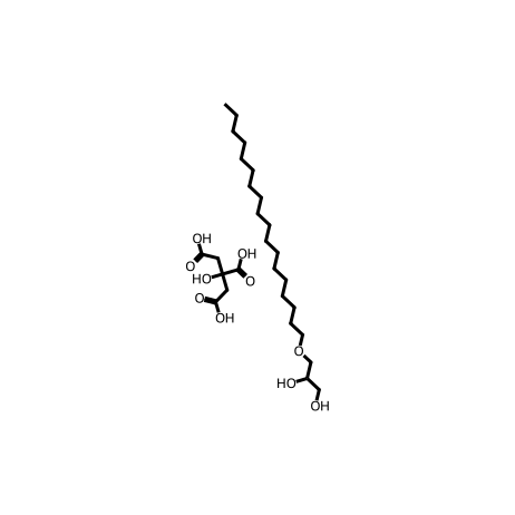 CCCCCCCCCCCCCCCCCCOCC(O)CO.O=C(O)CC(O)(CC(=O)O)C(=O)O